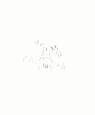 C=Cc1cc(C(C)(C)C)ccc1N1c2cc(C)cc3c2B(c2cc4c(cc2N3c2ccc3c(c2)C(C)(C)CCC3(C)C)C(C)(C)CCC4(C)C)c2c1oc1cc3c(cc21)C(C)(C)CCC3(C)C